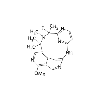 COc1ncc2c3cc(ncc13)Nc1ccnc(n1)C(C)(F)N(C)C2(C)C